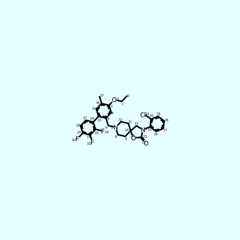 CCOc1cc(CN2CCC3(CC2)CN(c2ccccc2Cl)C(=O)O3)c(-c2ccc(F)c(F)c2F)cc1C